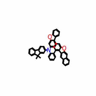 CC1(C)c2ccccc2-c2ccc(N(c3ccc4c(c3)oc3ccccc34)c3ccccc3-c3cccc4oc5cc6ccccc6cc5c34)cc21